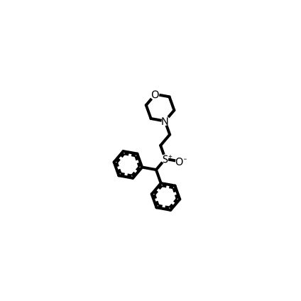 [O-][S+](CCN1CCOCC1)C(c1ccccc1)c1ccccc1